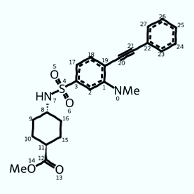 CNc1cc(S(=O)(=O)N[C@H]2CC[C@H](C(=O)OC)CC2)ccc1C#Cc1ccccc1